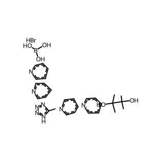 Br.CC(C)(O)C(C)(C)O.Cc1nnn[nH]1.OB(O)O.c1ccncc1.c1ccncc1.c1ccncc1.c1ccncc1